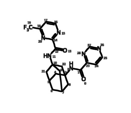 O=C(NC12CC3CC(C1)CC(NC(=O)c1nccc(C(F)(F)F)n1)(C3)C2)c1ccncn1